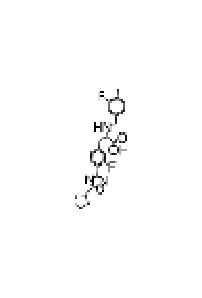 Cc1ccc(CNC(Cc2ccc(-c3noc(C4CCCC4)n3)c(F)c2)C(=O)O)cc1F